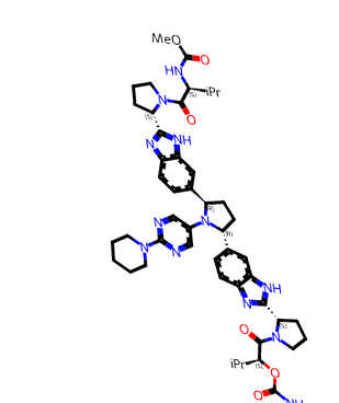 COC(=O)N[C@H](C(=O)N1CCC[C@H]1c1nc2ccc([C@H]3CC[C@H](c4ccc5nc([C@@H]6CCCN6C(=O)[C@@H](OC(N)=O)C(C)C)[nH]c5c4)N3c3cnc(N4CCCCC4)nc3)cc2[nH]1)C(C)C